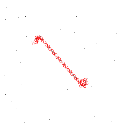 CC(O)C(=O)OC(C)C(=O)OC(C)C(=O)OC(C)C(=O)OCCOCCOCCOCCOCCOCCOCCOCCOCCOCCOCCOCCOCCOCCOCCOCCOCCOCCOCCOCCOCCOCCOC(=O)C(C)OC(=O)C(C)OC(=O)C(C)OC(=O)C(C)O